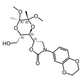 CO[C@]1(C)O[C@@H]([C@@H]2CN(c3ccc4c(c3)OCCO4)C(=O)O2)[C@H](CO)O[C@@]1(C)OC